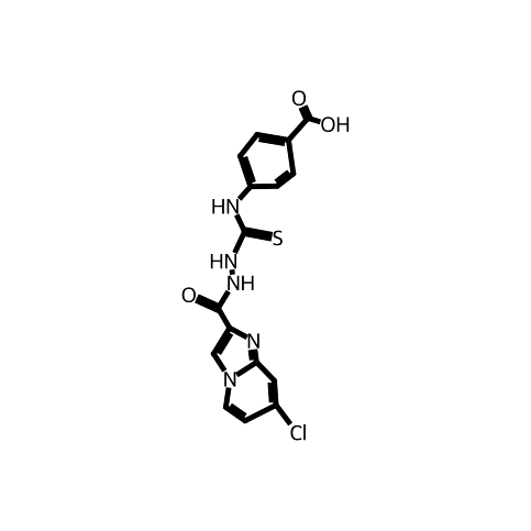 O=C(O)c1ccc(NC(=S)NNC(=O)c2cn3ccc(Cl)cc3n2)cc1